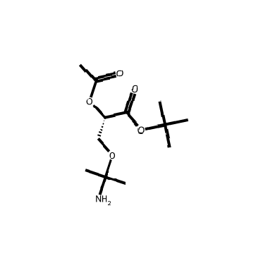 CC(=O)O[C@@H](COC(C)(C)N)C(=O)OC(C)(C)C